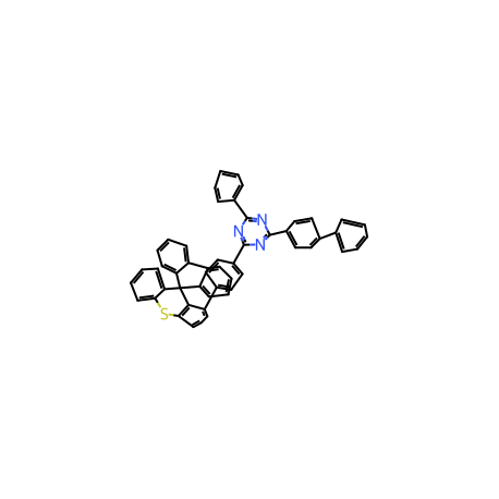 c1ccc(-c2ccc(-c3nc(-c4ccccc4)nc(-c4ccc(-c5cccc6c5C5(c7ccccc7S6)c6ccccc6-c6ccccc65)cc4)n3)cc2)cc1